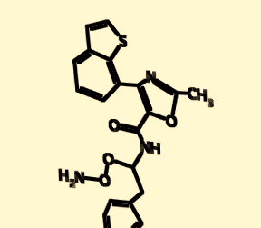 Cc1nc(-c2cccc3ccsc23)c(C(=O)NC(Cc2ccccc2)OON)o1